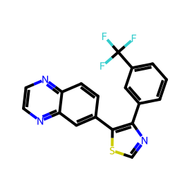 FC(F)(F)c1cccc(-c2ncsc2-c2ccc3nccnc3c2)c1